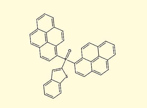 O=P(c1cc2ccccc2s1)(c1ccc2ccc3cccc4ccc1c2c34)c1ccc2ccc3cccc4ccc1c2c34